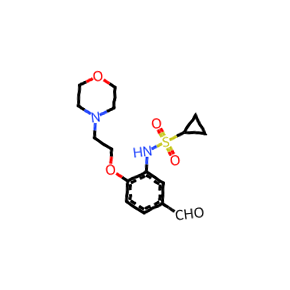 O=Cc1ccc(OCCN2CCOCC2)c(NS(=O)(=O)C2CC2)c1